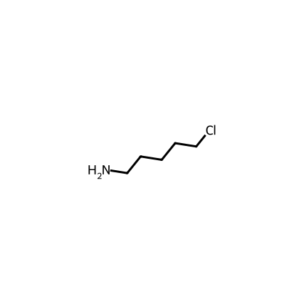 NCCCCCCl